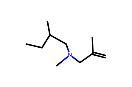 C=C(C)CN(C)CC(C)CC